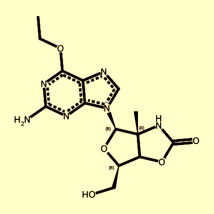 CCOc1nc(N)nc2c1ncn2[C@@H]1O[C@H](CO)C2OC(=O)N[C@]21C